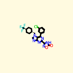 O=c1[nH]c(-c2nc(-c3cccc(Cl)c3)c3c(ncn3C[C@H]3CC[C@H](C(F)(F)F)CC3)n2)no1